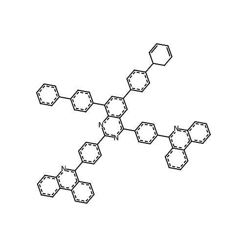 C1=CCC(c2ccc(-c3cc(-c4ccc(-c5ccccc5)cc4)c4nc(-c5ccc(-c6nc7ccccc7c7ccccc67)cc5)nc(-c5ccc(-c6nc7ccccc7c7ccccc67)cc5)c4c3)cc2)C=C1